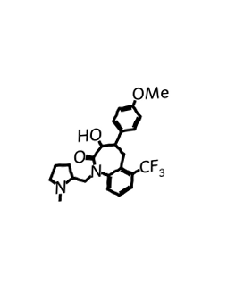 COc1ccc(C2Cc3c(cccc3C(F)(F)F)N(CC3CCCN3C)C(=O)C2O)cc1